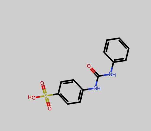 O=C(Nc1ccccc1)Nc1ccc(S(=O)(=O)O)cc1